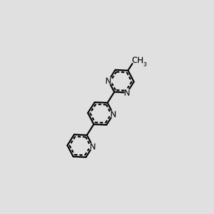 Cc1cnc(-c2ccc(-c3ccccn3)cn2)nc1